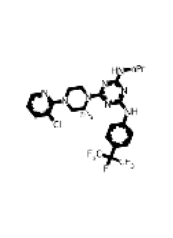 CCCNc1nc(Nc2ccc(C(F)(C(F)(F)F)C(F)(F)F)cc2)nc(N2CCN(c3ncccc3Cl)C[C@H]2C)n1